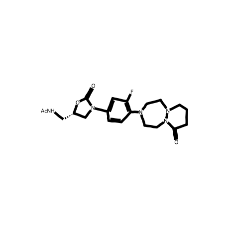 CC(=O)NC[C@H]1CN(c2ccc(N3CCN4CCCC(=O)N4CC3)c(F)c2)C(=O)O1